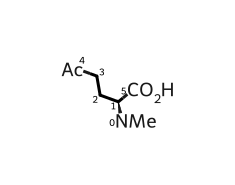 CN[C@@H](CCC(C)=O)C(=O)O